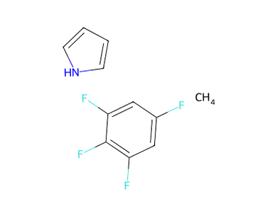 C.Fc1cc(F)c(F)c(F)c1.c1cc[nH]c1